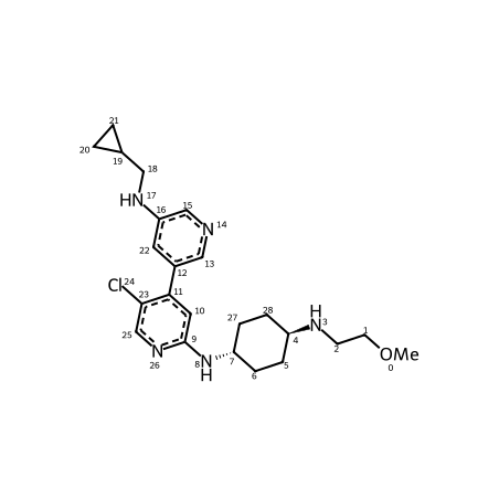 COCCN[C@H]1CC[C@H](Nc2cc(-c3cncc(NCC4CC4)c3)c(Cl)cn2)CC1